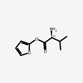 CC(C)[C@H](N)C(=O)Oc1ccco1